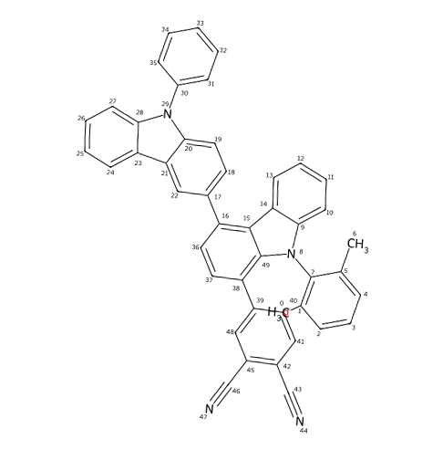 Cc1cccc(C)c1-n1c2ccccc2c2c(-c3ccc4c(c3)c3ccccc3n4-c3ccccc3)ccc(-c3ccc(C#N)c(C#N)c3)c21